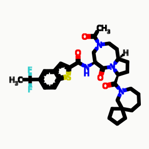 CC(=O)N1CC[C@H]2CC[C@@H](C(=O)N3CCCCC4(CCCC4)C3)N2C(=O)[C@@H](NC(=O)c2cc3cc(C(C)(F)F)ccc3s2)C1